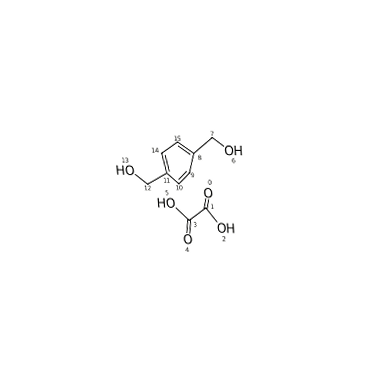 O=C(O)C(=O)O.OCc1ccc(CO)cc1